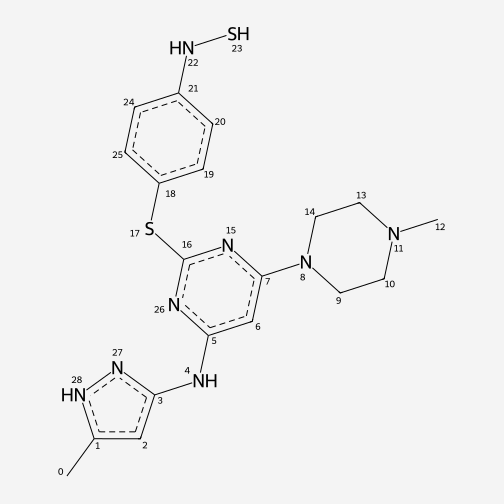 Cc1cc(Nc2cc(N3CCN(C)CC3)nc(Sc3ccc(NS)cc3)n2)n[nH]1